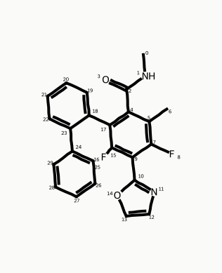 CNC(=O)c1c(C)c(F)c(-c2ncco2)c(F)c1-c1ccccc1-c1ccccc1